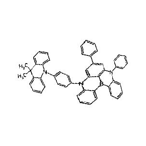 CC1(C)c2ccccc2N(c2ccc(N3c4ccccc4B4c5ccccc5N(c5ccccc5)c5cc(-c6ccccc6)cc3c54)cc2)c2ccccc21